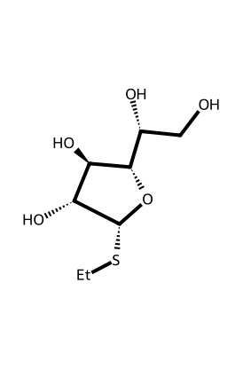 CCS[C@H]1O[C@@H]([C@H](O)CO)[C@H](O)[C@H]1O